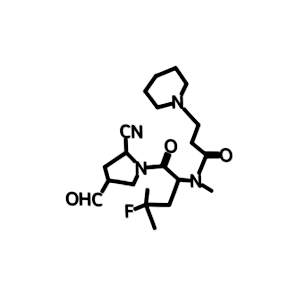 CN(C(=O)CCN1CCCCC1)C(CC(C)(C)F)C(=O)N1CC(C=O)CC1C#N